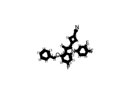 N#CC1CC(c2c(I)c3c(OCc4ccccc4)cc(F)cc3n2-c2ccc(F)c(F)c2)C1